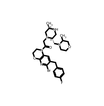 CC1COCCN1C[C@H]1CN[C@H](C)CN1CC(=O)N1CCOc2nc(Br)c(Cc3ccc(F)cc3)cc21